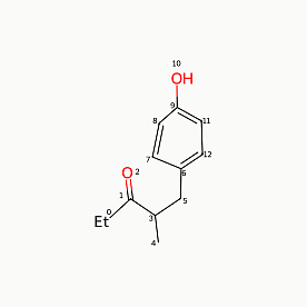 CCC(=O)C(C)Cc1ccc(O)cc1